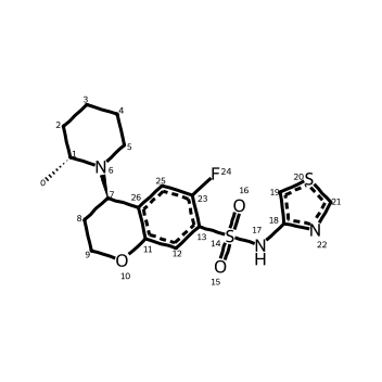 C[C@@H]1CCCCN1[C@@H]1CCOc2cc(S(=O)(=O)Nc3cscn3)c(F)cc21